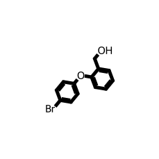 OCc1ccccc1Oc1ccc(Br)cc1